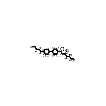 CCCCCc1ccc(-c2ccc(C(=O)CC(=O)CCCC)cc2)cc1